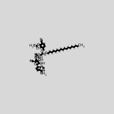 CCCCCCCCCCCCCCCCCCOC[C@H](COP(=O)(O)OC1[C@@]2(C#N)O[C@@H](c3ccc4c(N)ncnn34)[C@H](O)[C@@]12O)OCc1ccc(C#N)c(OC(C)C)c1